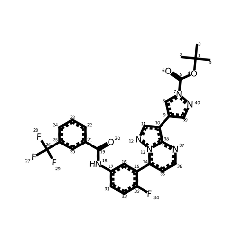 CC(C)(C)OC(=O)n1cc(-c2cnn3c(-c4cc(NC(=O)c5cccc(C(F)(F)F)c5)ccc4F)ccnc23)cn1